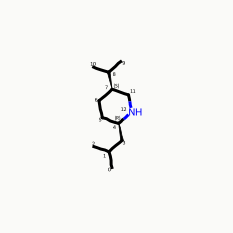 CC(C)C[C@H]1CC[C@@H](C(C)C)CN1